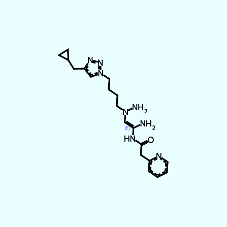 N/C(=C\N(N)CCCCn1cc(CC2CC2)nn1)NC(=O)Cc1ccccn1